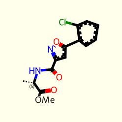 COC(=O)[C@H](C)NC(=O)c1cc(-c2ccccc2Cl)on1